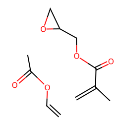 C=C(C)C(=O)OCC1CO1.C=COC(C)=O